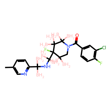 BC(B)(NC(B)(B)C1(F)C(B)(B)CN(C(=O)c2ccc(F)c(Cl)c2)C(B)(B)C1(B)B)c1ccc(C)cn1